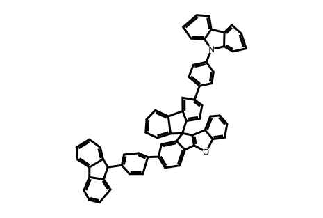 c1ccc2c(c1)-c1ccccc1C2c1ccc(-c2ccc3c(c2)C2(c4ccccc4-c4cc(-c5ccc(-n6c7ccccc7c7ccccc76)cc5)ccc42)c2c-3oc3ccccc23)cc1